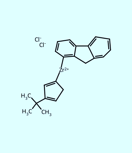 CC(C)(C)C1=CC[C]([Zr+2][c]2cccc3c2Cc2ccccc2-3)=C1.[Cl-].[Cl-]